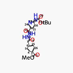 COC(=O)c1ccc(CC(=O)NNC(=O)c2ccc(NC(=O)OC(C)(C)C)nc2)cc1